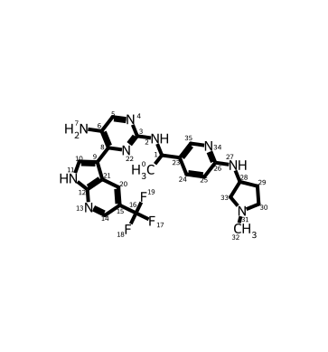 CC(Nc1ncc(N)c(-c2c[nH]c3ncc(C(F)(F)F)cc23)n1)c1ccc(NC2CCN(C)C2)nc1